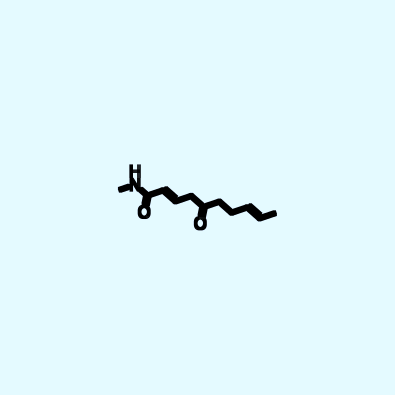 C/C=C/CCC(=O)C/C=C/C(=O)NC